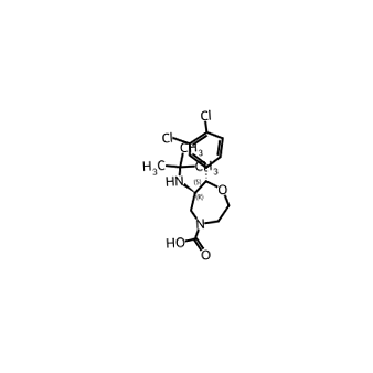 CC(C)(C)N[C@@H]1CN(C(=O)O)CCO[C@H]1c1ccc(Cl)c(Cl)c1